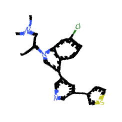 CC(CN(C)C)n1cc(-c2cncc(-c3ccsc3)c2)c2ccc(Cl)cc21